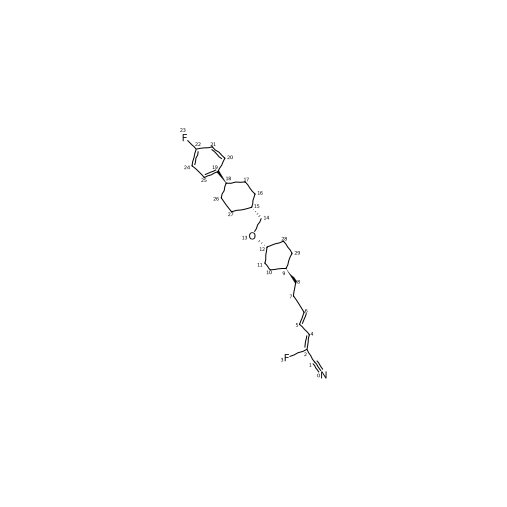 N#CC(F)=CC=CCC[C@H]1CC[C@H](OC[C@H]2CC[C@H](c3ccc(F)cc3)CC2)CC1